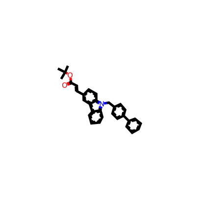 CC(C)(C)OC(=O)/C=C/c1ccc2c(c1)c1ccccc1n2Cc1ccc(-c2ccccc2)cc1